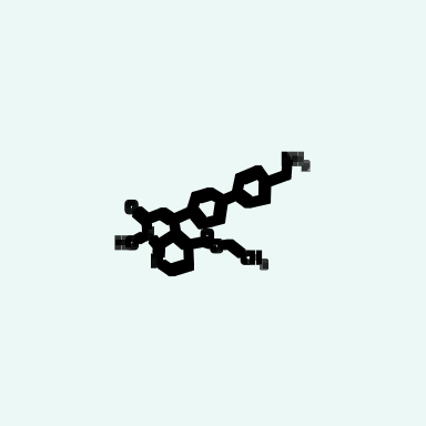 CCOC(=O)c1ccnc2c1c(-c1ccc(-c3ccc(CN)cc3)cc1)cc(=O)n2O